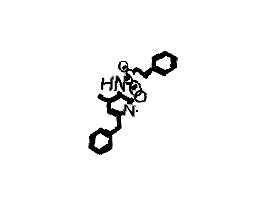 CC1=C(NS(=O)(=O)CCc2ccccc2)C(=O)[N]C(Cc2ccccc2)=C1